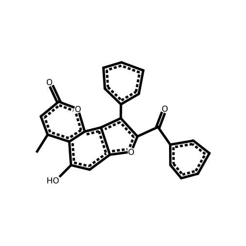 Cc1cc(=O)oc2c1c(O)cc1oc(C(=O)c3ccccc3)c(-c3ccccc3)c12